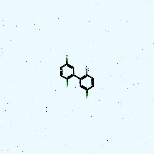 CC(=O)c1ccc(F)cc1-c1cc(F)ccc1F